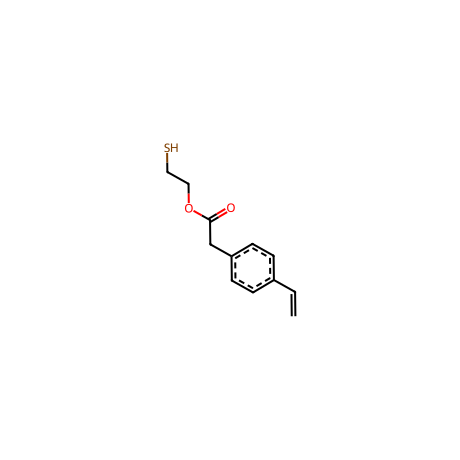 C=Cc1ccc(CC(=O)OCCS)cc1